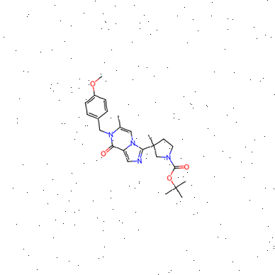 COc1ccc(Cn2c(C)cn3c(C4(C)CCN(C(=O)OC(C)(C)C)C4)ncc3c2=O)cc1